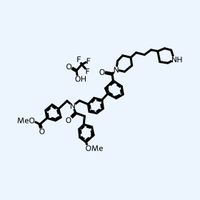 COC(=O)c1ccc(CN(Cc2cccc(-c3cccc(C(=O)N4CCC(CCCC5CCNCC5)CC4)c3)c2)C(=O)Cc2ccc(OC)cc2)cc1.O=C(O)C(F)(F)F